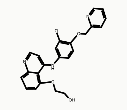 OCCOc1cccc2nccc(Nc3ccc(OCc4ccccn4)c(Cl)c3)c12